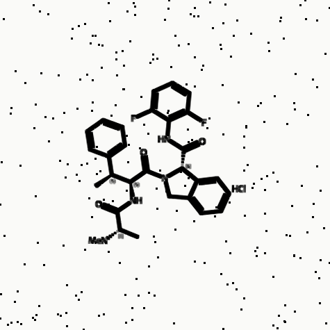 CN[C@@H](C)C(=O)N[C@H](C(=O)N1Cc2ccccc2[C@H]1C(=O)Nc1c(F)cccc1F)[C@@H](C)c1ccccc1.Cl